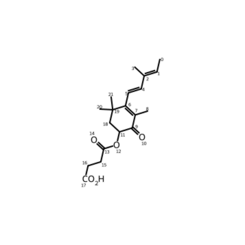 C/C=C(C)/C=C/C1=C(C)C(=O)C(OC(=O)CCC(=O)O)CC1(C)C